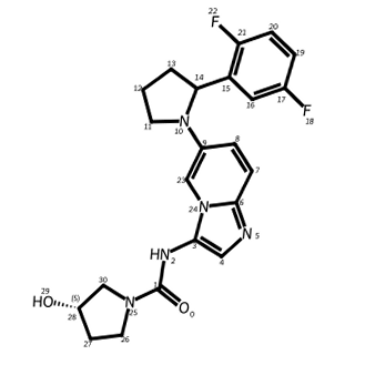 O=C(Nc1cnc2ccc(N3CCCC3c3cc(F)ccc3F)cn12)N1CC[C@H](O)C1